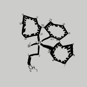 C=CCP(Br)(c1ccccc1)(c1ccccc1)c1ccccc1